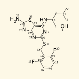 CC(C)CC(CO)Nc1nc(SCc2c(F)cccc2F)nc2nc(N)sc12